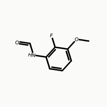 COc1cccc(NC=O)c1F